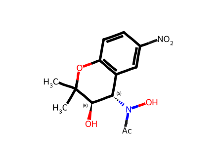 CC(=O)N(O)[C@H]1c2cc([N+](=O)[O-])ccc2OC(C)(C)[C@@H]1O